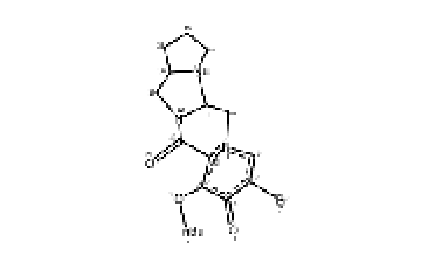 CCCCOc1c2n(cc(Br)c1=O)CC1N(CC3CCCN31)C2=O